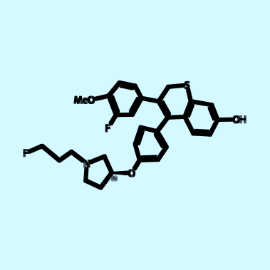 COc1ccc(C2=C(c3ccc(O[C@H]4CCN(CCCF)C4)cc3)c3ccc(O)cc3SC2)cc1F